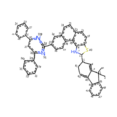 CC1(C)C2=CC(C3Nc4c(ccc5ccc6cc(-c7nc(-c8ccccc8)cc(-c8ccccc8)n7)ccc6c45)S3)CC=C2c2ccccc21